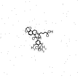 C[Si](C)(C)c1c(F)cc(NC(=O)[C@H]2c3ccc4c(c3CCN2C(=O)CCCC(=O)O)OCCO4)cc1F